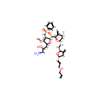 C=CCOC/C=C/[C@H]1CC(=C)[C@H](CC[C@H]2C[C@@H](C)C(=C)C(C[C@@H]3OC(C[C@H](O)CN)[C@H](OC)[C@H]3CS(=O)(=O)c3ccccc3)O2)O1